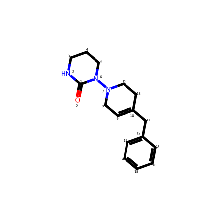 O=C1NCCCN1N1CC=C(Cc2ccccc2)CC1